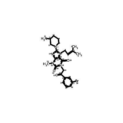 CC(C)=CCn1c(N2CCCC(N)C2)nc2c1c(=O)n(CC(=O)c1cccc(Br)c1)c(=O)n2C